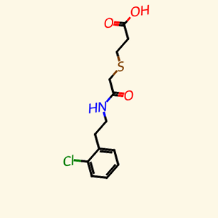 O=C(O)CCSCC(=O)NCCc1ccccc1Cl